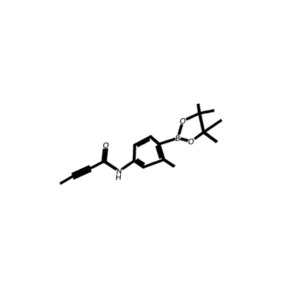 CC#CC(=O)Nc1ccc(B2OC(C)(C)C(C)(C)O2)c(C)c1